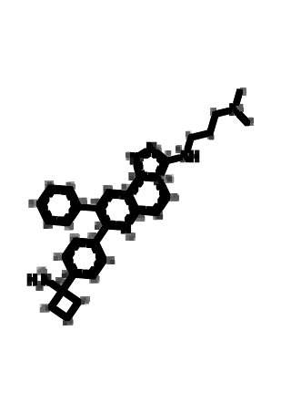 CN(C)CCCNc1nnc2c3cc(-c4ccccc4)c(-c4ccc(C5(N)CCC5)cc4)nc3ccn12